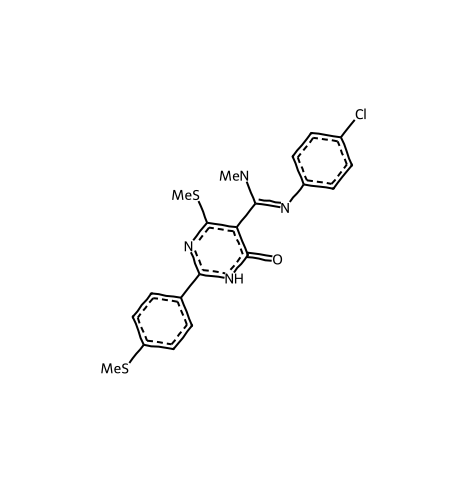 CNC(=Nc1ccc(Cl)cc1)c1c(SC)nc(-c2ccc(SC)cc2)[nH]c1=O